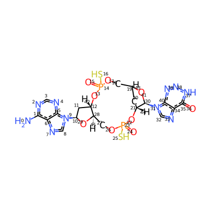 Nc1ncnc2c1ncn2[C@H]1C[C@@H]2OP(=O)(S)OC[C@@H]3C[C@@H](OP(=O)(S)OC[C@H]2O1)[C@H](n1cnc2c(=O)[nH]nnc21)O3